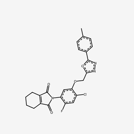 Cc1ccc(-c2nnc(COc3cc(N4C(=O)C5=C(CCCC5)C4=O)c(F)cc3Cl)o2)cc1